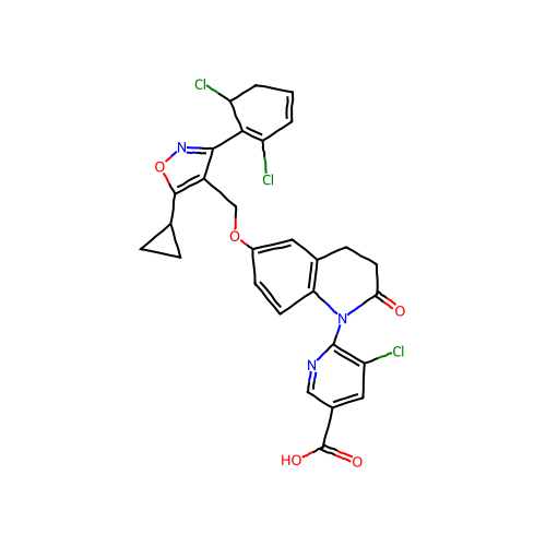 O=C(O)c1cnc(N2C(=O)CCc3cc(OCc4c(C5=C(Cl)C=CCC5Cl)noc4C4CC4)ccc32)c(Cl)c1